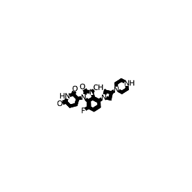 Cn1c(=O)n(C2CCC(=O)NC2=O)c2c(F)ccc(N3CC(N4CCNCC4)C3)c21